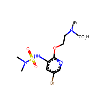 CC(C)N(CCOc1ncc(Br)cc1NS(=O)(=O)N(C)C)C(=O)O